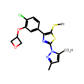 Cc1cc(C(=O)O)n(-c2nc(-c3ccc(Cl)c(OC4COC4)c3)c(SC(C)C)s2)n1